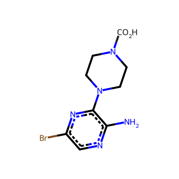 Nc1ncc(Br)nc1N1CCN(C(=O)O)CC1